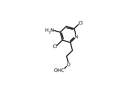 Nc1cc(Cl)nc(CCOC=O)c1Cl